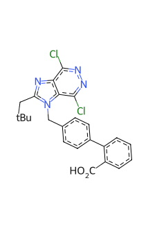 CC(C)(C)Cc1nc2c(Cl)nnc(Cl)c2n1Cc1ccc(-c2ccccc2C(=O)O)cc1